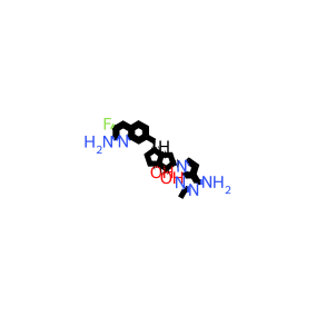 Cc1nc(N)c2ccn([C@@H]3C[C@@H]4[C@H](Cc5ccc6cc(F)c(N)nc6c5)CC[C@]4(O)[C@H]3O)c2n1